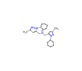 CC(=N)/C=C(/CNCc1cc(C)nn1-c1ccccc1)Nc1ccccc1